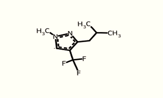 CC(C)Cc1nn(C)[c]c1C(F)(F)F